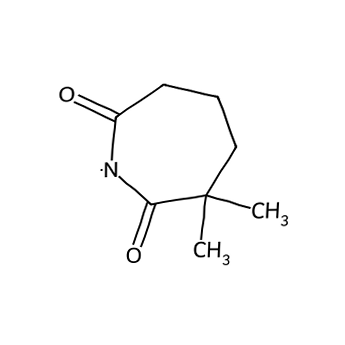 CC1(C)CCCC(=O)[N]C1=O